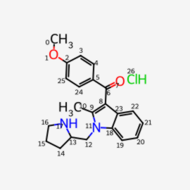 COc1ccc(C(=O)c2c(C)n(CC3CCCN3)c3ccccc23)cc1.Cl